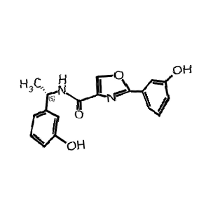 C[C@H](NC(=O)c1coc(-c2cccc(O)c2)n1)c1cccc(O)c1